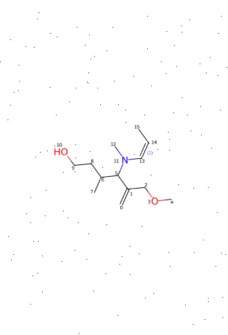 C=C(COC)C(C(C)CCO)N(C)/C=C\C